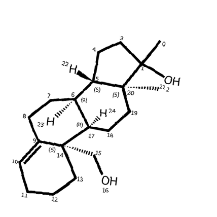 CC1(O)CC[C@H]2[C@@H]3CCC4=CCCC[C@]4(CO)[C@@H]3CC[C@@]21C